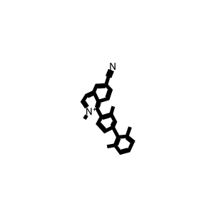 Cc1cc(-c2c(C)cccc2C)ccc1-c1c2ccc(C#N)cc2cc[n+]1C